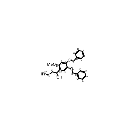 CO[n+]1cc(OCc2ccccc2)c(OCc2ccccc2)cc1C(O)CSC(C)C